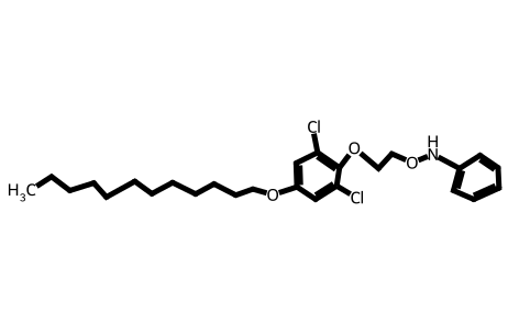 CCCCCCCCCCCCOc1cc(Cl)c(OCCONc2ccccc2)c(Cl)c1